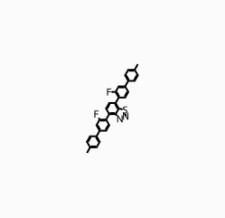 Cc1ccc(-c2ccc(-c3ccc(-c4ccc(-c5ccc(C)cc5)cc4F)c4snnc34)c(F)c2)cc1